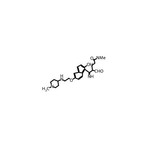 CNC(=O)CCC(C=O)C(=N)c1c(O)ccc2cc(OCCNC3CCN(C)CC3)ccc12